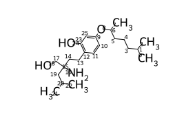 CC(C)CCCC(C)Oc1ccc(CCC(N)(CO)CC(C)C)c(O)c1